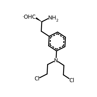 N[C@H]([C]=O)Cc1cccc(N(CCCl)CCCl)c1